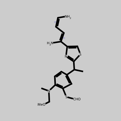 COCN(C)c1ccc(C(C)c2nc(/C(N)=C/C=C\N)cs2)cc1SC=O